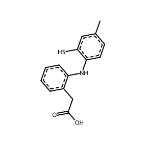 Cc1ccc(Nc2ccccc2CC(=O)O)c(S)c1